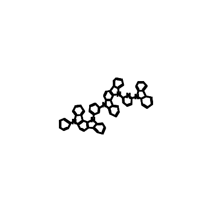 C1=CC2c3ccccc3N(c3cccc(-n4c5ccccc5c5ccc6c(c7ccccc7n6-c6cccc(-n7c8ccccc8c8ccc9c(c%10ccccc%10n9-c9ccccc9)c87)c6)c54)n3)C2C=C1